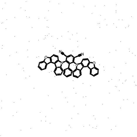 N#Cc1cc(C#N)c(-n2c3ccccc3c3c4c(ccc32)oc2ccccc24)c(-c2ccccc2)c1-n1c2ccccc2c2c3c(ccc21)oc1ccccc13